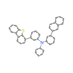 c1ccc(N(c2cccc(-c3ccc4ccccc4c3)c2)c2cccc(-c3cccc4c3sc3ccccc34)c2)cc1